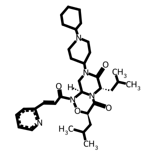 CC(C)C[C@H]1ON(C(=O)/C=C/c2ccccn2)[C@H]2CN(C3CCN(C4CCCCC4)CC3)C(=O)[C@H](CC(C)C)N2C1=O